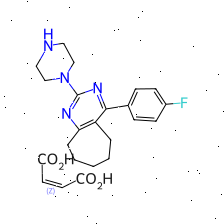 Fc1ccc(-c2nc(N3CCNCC3)nc3c2CCCCC3)cc1.O=C(O)/C=C\C(=O)O